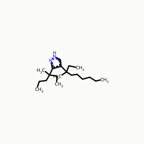 CCCCCCC(C)(CC)c1c[nH]nc1C(C)(CC)CCC